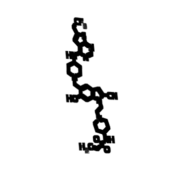 C=CS(=O)(=O)NC1CCN(CCn2c(C#N)cc3cc(CN4CCC(Nc5ncnc6sc(CC(F)(F)F)cc56)CC4)c(O)cc32)CC1